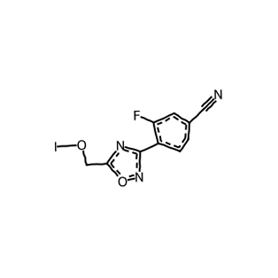 N#Cc1ccc(-c2noc(COI)n2)c(F)c1